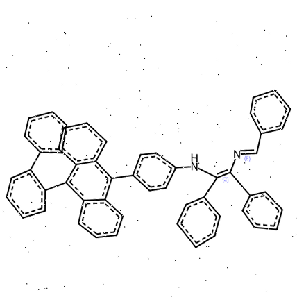 C(=N\C(=C(/Nc1ccc(-c2c3ccccc3c(-c3ccccc3-c3ccccc3)c3ccccc23)cc1)c1ccccc1)c1ccccc1)/c1ccccc1